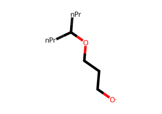 CCCC(CCC)OCCC[O]